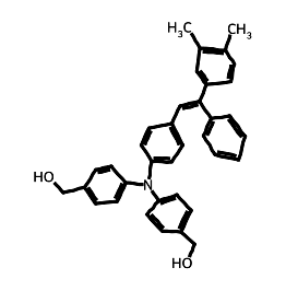 Cc1ccc(/C(=C/c2ccc(N(c3ccc(CO)cc3)c3ccc(CO)cc3)cc2)c2ccccc2)cc1C